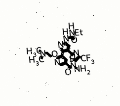 CCNC(=O)Nc1cc(-c2nc(C(F)(F)F)cs2)c(-c2cc(C(=O)NN)cnc2OCCN(C)C)cn1